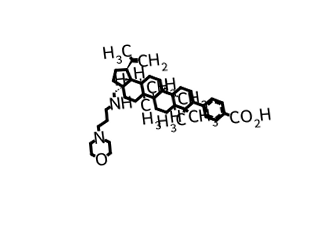 C=C(C)[C@@H]1CC[C@]2(CNCCCN3CCOCC3)CC[C@]3(C)[C@H](CC[C@@H]4[C@@]5(C)CC=C(c6ccc(C(=O)O)cc6)C(C)(C)[C@@H]5CC[C@]43C)[C@@H]12